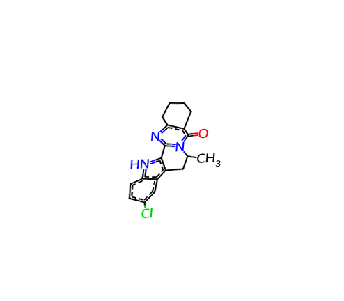 CC1Cc2c([nH]c3ccc(Cl)cc23)-c2nc3c(c(=O)n21)CCCC3